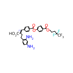 Nc1ccc(CC/C(=C\c2ccc(C(=O)Oc3ccc(C(=O)OCCCC(F)(F)C(F)(F)F)cc3)cc2)C(=O)O)c(N)c1